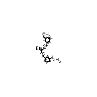 C=Cc1cccc(CSCC(CC)CSCc2cccc(C=C)c2)c1